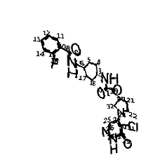 O=C(N[C@H]1CC[C@H](NC(=O)c2ccccc2F)CC1)O[C@@H]1CCN(c2cn[nH]c(=O)c2Cl)C1